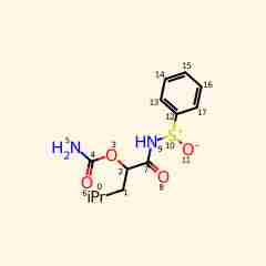 CC(C)CC(OC(N)=O)C(=O)N[S+]([O-])c1ccccc1